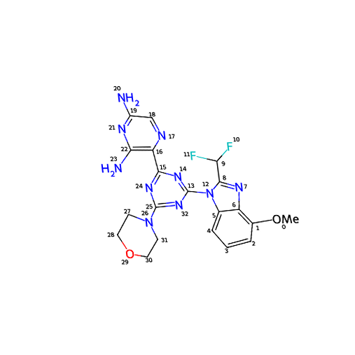 COc1cccc2c1nc(C(F)F)n2-c1nc(-c2ncc(N)nc2N)nc(N2CCOCC2)n1